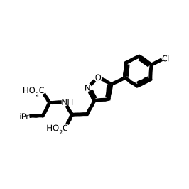 CC(C)CC(NC(Cc1cc(-c2ccc(Cl)cc2)on1)C(=O)O)C(=O)O